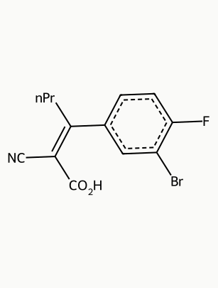 CCCC(=C(C#N)C(=O)O)c1ccc(F)c(Br)c1